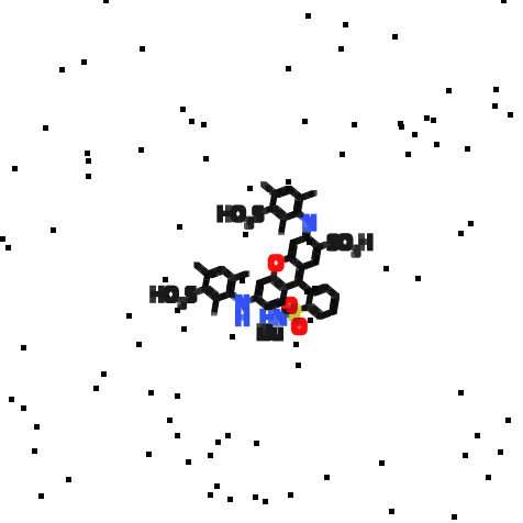 CCC(C)NS(=O)(=O)c1ccccc1-c1c2cc(S(=O)(=O)O)/c(=N/c3c(C)cc(C)c(S(=O)(=O)O)c3C)cc-2oc2cc(Nc3c(C)cc(C)c(S(=O)(=O)O)c3C)ccc12